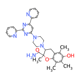 Cc1c(C)c2c(c(C)c1O)CC(N1CCN(c3cc(-c4ccccn4)nc(-c4ccccn4)n3)CC1)C(C)(C(N)=O)O2